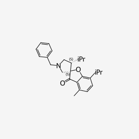 Cc1ccc(C(C)C)c2c1C(=O)[C@]1(CN(Cc3ccccc3)C[C@@H]1C(C)C)O2